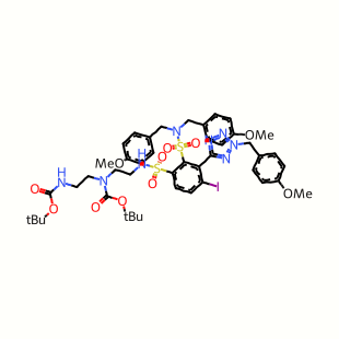 COc1ccc(CN(Cc2ccc(OC)cc2)S(=O)(=O)c2c(S(=O)(=O)NCCN(CCNC(=O)OC(C)(C)C)C(=O)OC(C)(C)C)ccc(I)c2-c2nnn(Cc3ccc(OC)cc3)n2)cc1